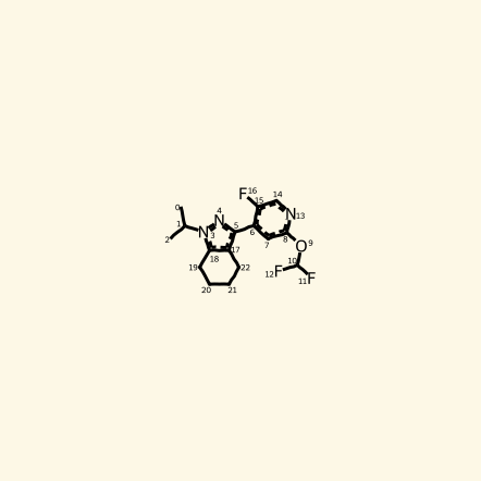 CC(C)n1nc(-c2cc(OC(F)F)ncc2F)c2c1CCCC2